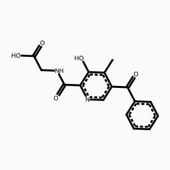 Cc1c(C(=O)c2ccccc2)cnc(C(=O)NCC(=O)O)c1O